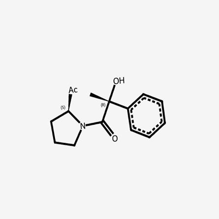 CC(=O)[C@@H]1CCCN1C(=O)[C@](C)(O)c1ccccc1